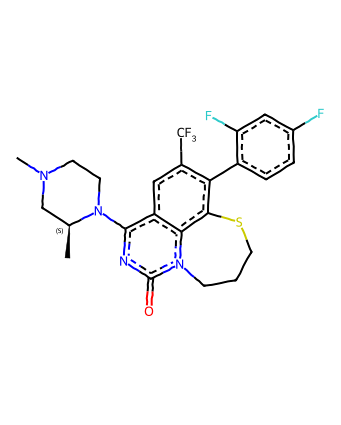 C[C@H]1CN(C)CCN1c1nc(=O)n2c3c(c(-c4ccc(F)cc4F)c(C(F)(F)F)cc13)SCCC2